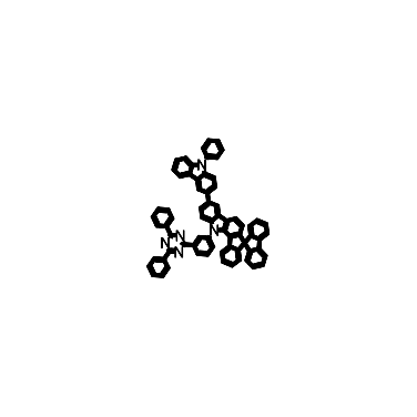 c1ccc(-c2nc(-c3ccccc3)nc(-c3cccc(-n4c5ccc(-c6ccc7c(c6)c6ccccc6n7-c6ccccc6)cc5c5ccc6c(c54)-c4ccccc4C64c5ccccc5-c5ccccc54)c3)n2)cc1